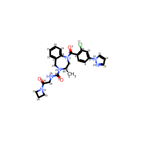 C[C@@H]1CN(C(=O)c2ccc(-n3cccn3)cc2Cl)c2ccccc2CN1C(=O)NCC(=O)N1CCC1